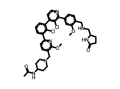 COc1cc(-c2nccc(-c3cccc(-c4ccc(CN5CCC(NC(C)=O)CC5)c(OC)n4)c3Cl)c2Cl)ccc1CNCC1CCC(=O)N1